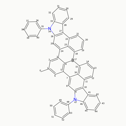 Cc1cc2c3c(c1)-c1cc4c(c5cccc(c15)B3c1cccc3c1c-2cc1c3c2ccccc2n1-c1ccccc1)c1ccccc1n4-c1ccccc1